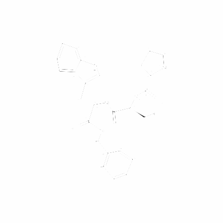 CC(C)C[C@H](NC(=O)[C@@H]1CCCN1)C(=O)N[C@@H](Cc1c[nH]c2ccccc12)C(=O)NCc1ccccc1